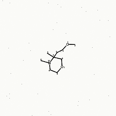 COCCC1(C)COCCN1C